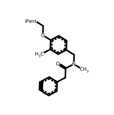 CCCC(C)COc1ccc(CN(C)C(=O)Cc2cc#ccc2)cc1C